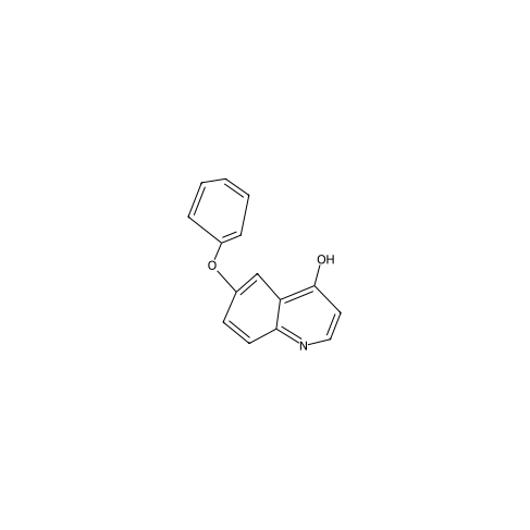 Oc1ccnc2ccc(Oc3ccccc3)cc12